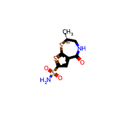 C[C@@H]1CNC(=O)c2cc(S(N)(=O)=O)sc2S1